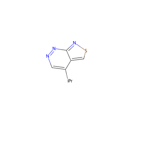 CC(C)c1cnnc2nscc12